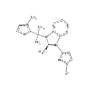 CC(C)n1ccc(N2c3ccccc3N(C(C)(C)c3cccn3C)[C@@H]2C)n1